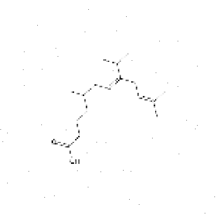 CC(C)=CCC(=CCC(C)CCCC(=O)O)C(C)C